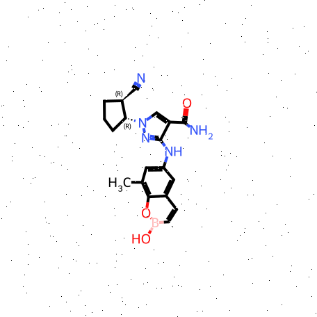 Cc1cc(Nc2nn([C@@H]3CCC[C@H]3C#N)cc2C(N)=O)cc2c1OB(O)C=C2